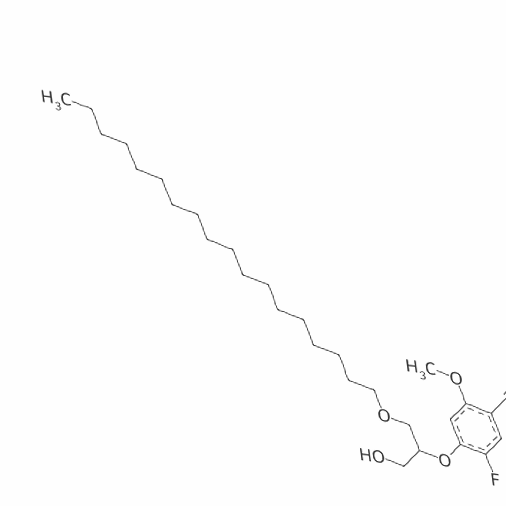 CCCCCCCCCCCCCCCCCCOCC(CO)Oc1cc(OC)c(C#N)cc1F